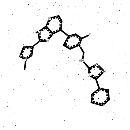 Cn1cc(-c2nc3c(-c4ccc(CNc5nnc(-c6ccccc6)o5)c(F)c4)ccnc3[nH]2)cn1